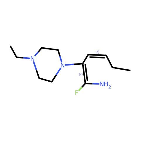 CC/C=C\C(=C(/N)F)N1CCN(CC)CC1